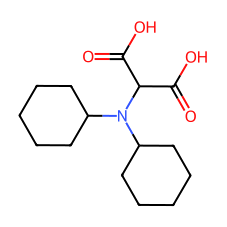 O=C(O)C(C(=O)O)N(C1CCCCC1)C1CCCCC1